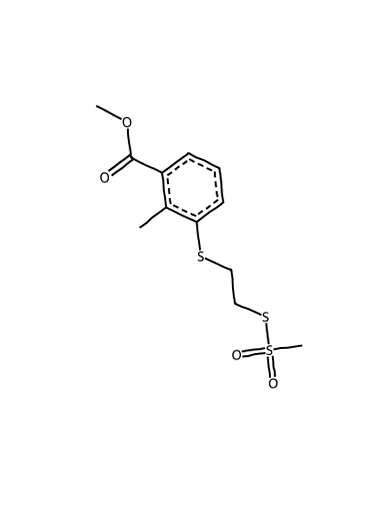 COC(=O)c1cccc(SCCSS(C)(=O)=O)c1C